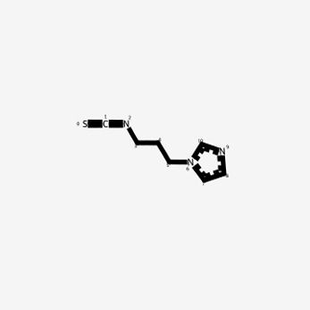 S=C=NCCCn1ccnc1